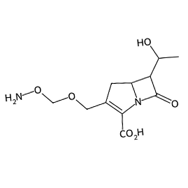 CC(O)C1C(=O)N2C(C(=O)O)=C(COCON)CC12